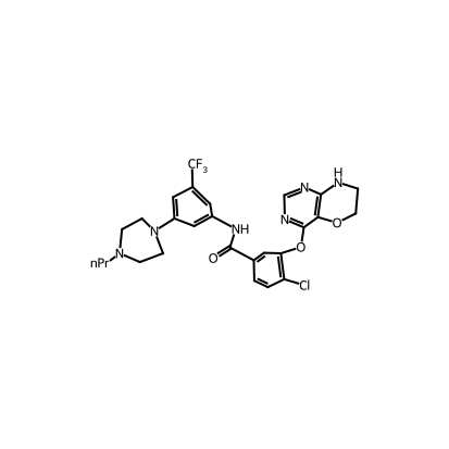 CCCN1CCN(c2cc(NC(=O)c3ccc(Cl)c(Oc4ncnc5c4OCCN5)c3)cc(C(F)(F)F)c2)CC1